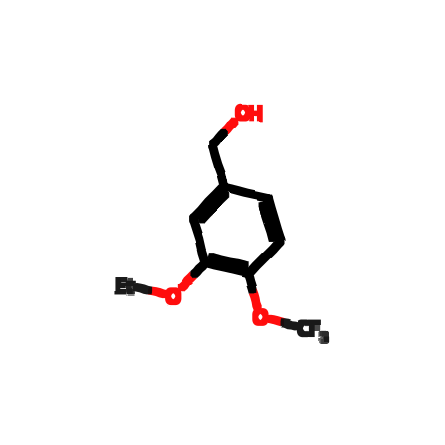 CCOc1cc(CO)ccc1OC(F)(F)F